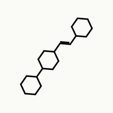 C(=C\C1CCC(C2CCCCC2)CC1)/C1CCCCC1